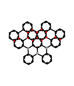 c1ccc(-c2cccc(-c3ccccc3)c2N2c3ccccc3B3c4ccccc4N4c5ccccc5B5c6ccccc6N(c6c(-c7ccccc7)cccc6-c6ccccc6)c6cc2c3c4c65)cc1